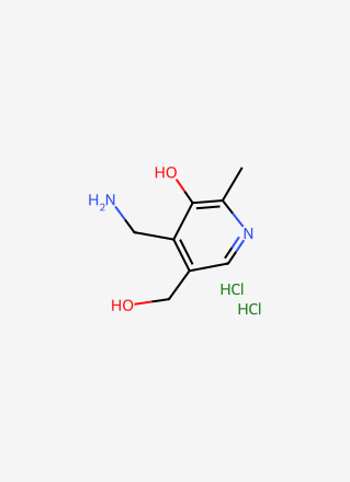 Cc1ncc(CO)c(CN)c1O.Cl.Cl